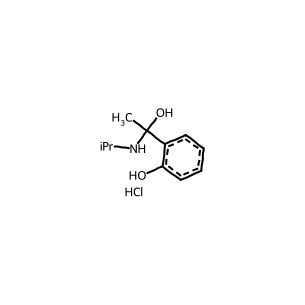 CC(C)NC(C)(O)c1ccccc1O.Cl